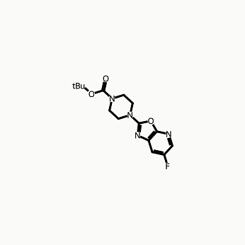 CC(C)(C)OC(=O)N1CCN(c2nc3cc(F)cnc3o2)CC1